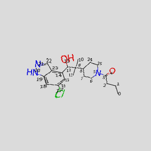 CCCC(=O)N1CCC(C(C)(C)C(O)c2cc(Cl)cc3[nH]ncc23)CC1